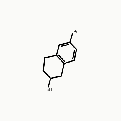 CC(C)c1ccc2c(c1)CCC(S)C2